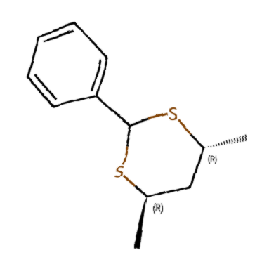 C[C@@H]1C[C@@H](C)SC(c2ccccc2)S1